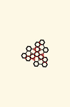 c1ccc(-c2cccc(-c3ccccc3)c2B2c3ccccc3Oc3c2c2c(c4c3B(c3c(-c5ccccc5)cccc3-c3ccccc3)c3ccccc3O4)B(c3c(-c4ccccc4)cccc3-c3ccccc3)c3ccccc3O2)cc1